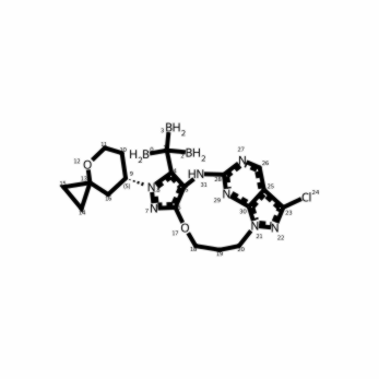 BC(B)(B)c1c2c(nn1[C@H]1CCOC3(CC3)C1)OCCCn1nc(Cl)c3cnc(nc31)N2